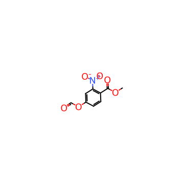 COC(=O)c1ccc(OC=O)cc1[N+](=O)[O-]